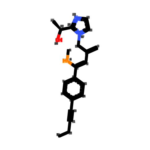 C=C(/C=C(\PC)c1ccc(C#CCC)cc1)Cn1ccnc1[C@H](C)O